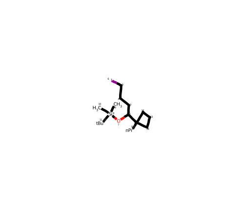 CCCC1(C(CCCI)O[Si](C)(C)C(C)(C)C)CCC1